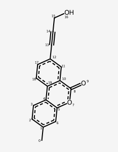 Cc1ccc2c(c1)oc(=O)c1cc(C#CCO)ccc12